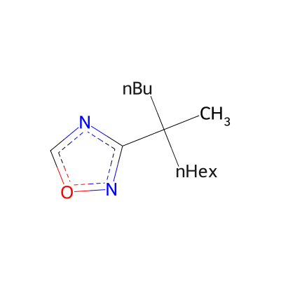 CCCCCCC(C)(CCCC)c1ncon1